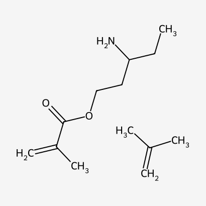 C=C(C)C.C=C(C)C(=O)OCCC(N)CC